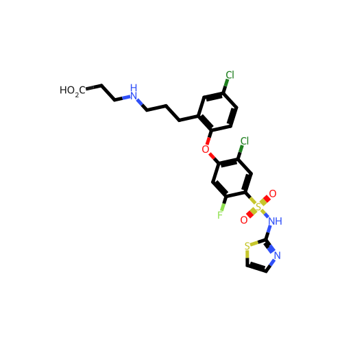 O=C(O)CCNCCCc1cc(Cl)ccc1Oc1cc(F)c(S(=O)(=O)Nc2nccs2)cc1Cl